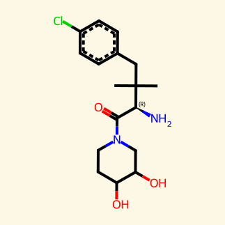 CC(C)(Cc1ccc(Cl)cc1)[C@@H](N)C(=O)N1CCC(O)C(O)C1